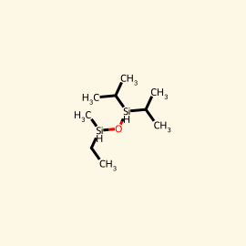 CC[SiH](C)O[SiH](C(C)C)C(C)C